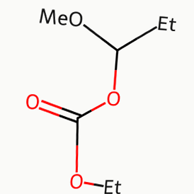 CCOC(=O)OC(CC)OC